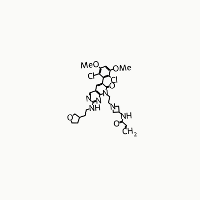 C=CC(=O)NC1CN(CCn2c(=O)c(-c3c(Cl)c(OC)cc(OC)c3Cl)cc3cnc(NCCC4CCOC4)nc32)C1